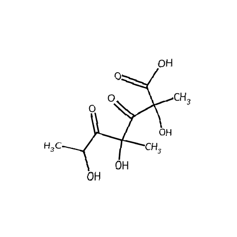 CC(O)C(=O)C(C)(O)C(=O)C(C)(O)C(=O)O